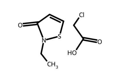 CCn1sccc1=O.O=C(O)CCl